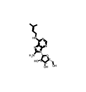 CC(C)=CCNc1ncnc2c1nc(N)n2[C@@H]1O[C@H](CO)[C@@H](O)[C@H]1O